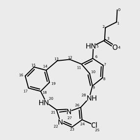 CCCC(=O)Nc1ccc2cc1CCc1cccc(c1)Nc1ncc(Cl)c(n1)N2